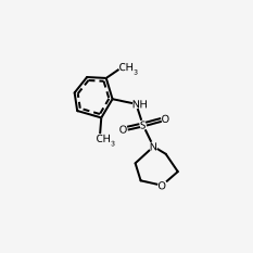 Cc1cccc(C)c1NS(=O)(=O)N1CCOCC1